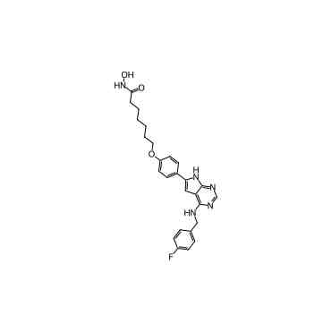 O=C(CCCCCCOc1ccc(-c2cc3c(NCc4ccc(F)cc4)ncnc3[nH]2)cc1)NO